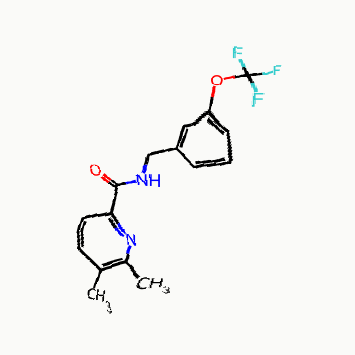 Cc1ccc(C(=O)NCc2cccc(OC(F)(F)F)c2)nc1C